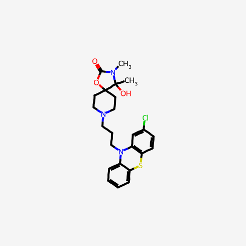 CN1C(=O)OC2(CCN(CCCN3c4ccccc4Sc4ccc(Cl)cc43)CC2)C1(C)O